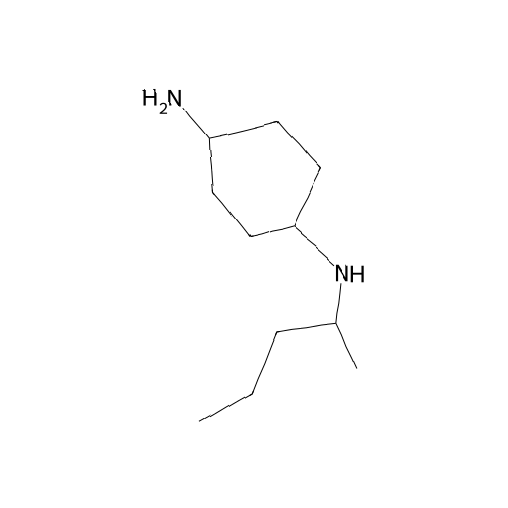 CCCC(C)NC1CCC(N)CC1